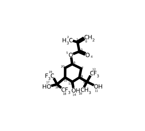 C=C(C)C(=O)OC1CC(C(C)(O)C(F)(F)F)C(O)C(C(O)(C(F)(F)F)C(F)(F)F)C1